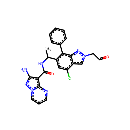 CC(NC(=O)c1c(N)nn2cccnc12)c1cc(Cl)c2cn(CC=O)nc2c1-c1ccccc1